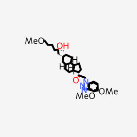 COCCCC[C@@](C)(O)C[C@@H]1CC[C@@H]2[C@H](CC[C@]3(C)[C@@H](C(=O)Cn4nnc5c(OC)c(OC)ccc54)CC[C@@H]23)C1